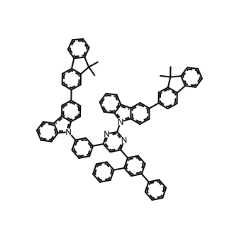 CC1(C)c2ccccc2-c2ccc(-c3ccc4c(c3)c3ccccc3n4-c3cccc(-c4cc(-c5ccc(-c6ccccc6)cc5-c5ccccc5)nc(-n5c6ccccc6c6cc(-c7ccc8c(c7)C(C)(C)c7ccccc7-8)ccc65)n4)c3)cc21